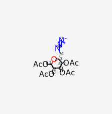 CC(=O)OC1O[C@H](CN=[N+]=[N-])[C@@H](OC(C)=O)[C@H](OC(C)=O)[C@H]1OC(C)=O